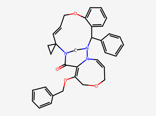 O=C1/C2=C(\OCc3ccccc3)COC/C=C\N2N2CN1C1(/C=C/COc3ccccc3C2c2ccccc2)CC1